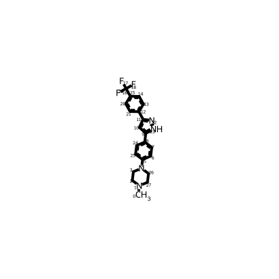 CN1CCN(c2ccc(-c3cc(-c4ccc(C(F)(F)F)cc4)n[nH]3)cc2)CC1